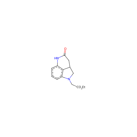 CCOC(=O)CN1CC2CC(=O)Nc3cccc1c32